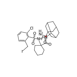 NC(=O)C12CC3CC(C1)C(NC(=O)C1(NS(=O)(=O)c4c(Cl)cccc4CI)CCCCC1)C(C3)C2